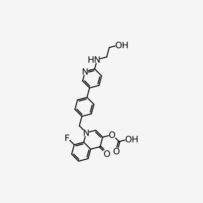 O=C(O)Oc1cn(Cc2ccc(-c3ccc(NCCO)nc3)cc2)c2c(F)cccc2c1=O